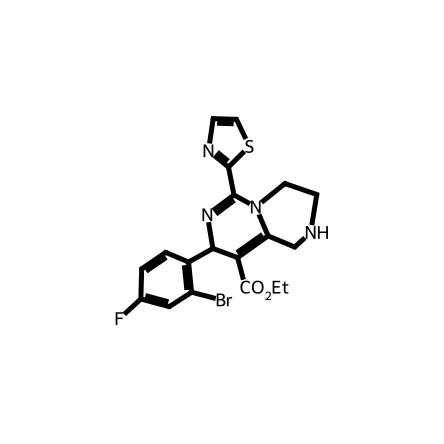 CCOC(=O)C1=C2CNCCN2C(c2nccs2)=NC1c1ccc(F)cc1Br